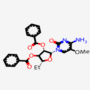 CC[C@H]1O[C@@H](n2cc(OC)c(N)nc2=O)[C@@H](OC(=O)c2ccccc2)C1OC(=O)c1ccccc1